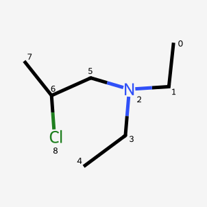 CCN(CC)CC(C)Cl